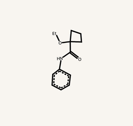 CCOC1(C(=O)Nc2ccccc2)CCC1